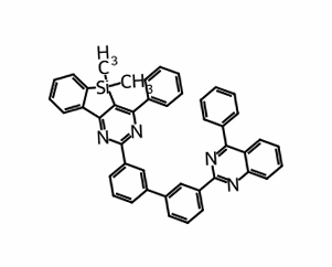 C[Si]1(C)c2ccccc2-c2nc(-c3cccc(-c4cccc(-c5nc(-c6ccccc6)c6ccccc6n5)c4)c3)nc(-c3ccccc3)c21